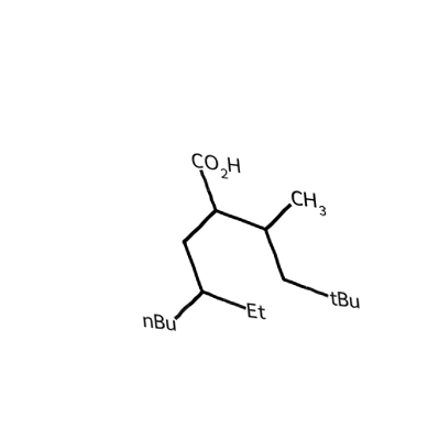 CCCCC(CC)CC(C(=O)O)C(C)CC(C)(C)C